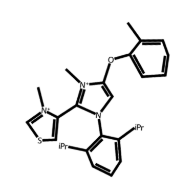 Cc1ccccc1Oc1cn(-c2c(C(C)C)cccc2C(C)C)c(-c2csc[n+]2C)[n+]1C